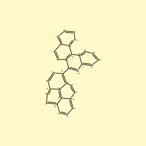 c1cnc2c(c1)ccc1c(-c3ccc4ccc5cccc6ccc3c4c56)nc3ccccc3c12